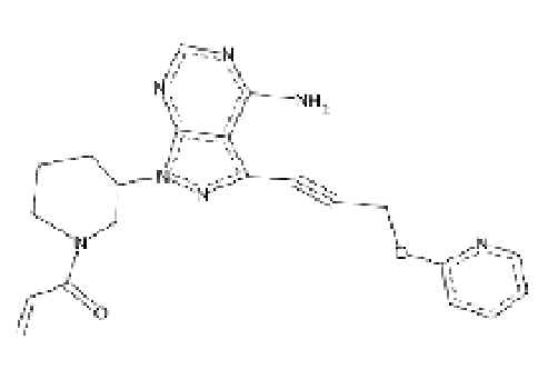 C=CC(=O)N1CCCC(n2nc(C#CCOc3ccccn3)c3c(N)ncnc32)C1